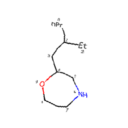 CCCC(CC)CC1CNCCO1